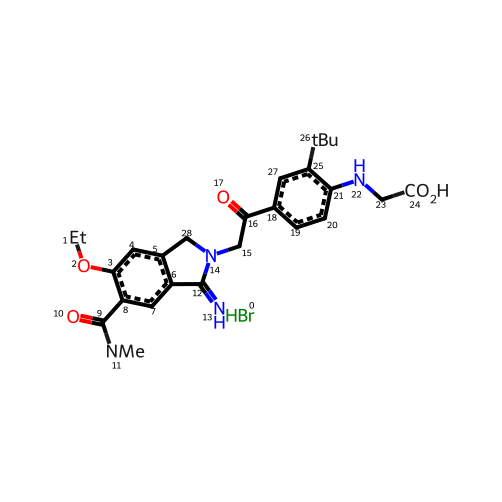 Br.CCOc1cc2c(cc1C(=O)NC)C(=N)N(CC(=O)c1ccc(NCC(=O)O)c(C(C)(C)C)c1)C2